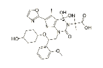 COc1ccccc1C(CN1C(=O)N(C(C)(C)C(=O)O)S(O)(O)c2c1sc(-c1ncco1)c2C)OC1CCC(O)CC1